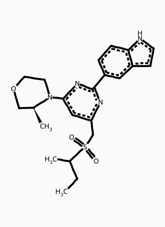 CCC(C)S(=O)(=O)Cc1cc(N2CCOC[C@@H]2C)nc(-c2ccc3[nH]ccc3c2)n1